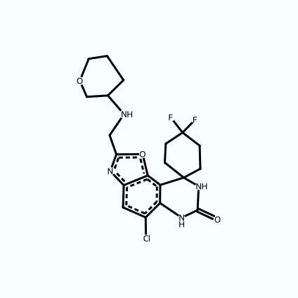 O=C1Nc2c(Cl)cc3nc(CNC4CCCOC4)oc3c2C2(CCC(F)(F)CC2)N1